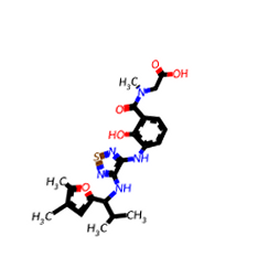 Cc1cc(C(Nc2nsnc2Nc2cccc(C(=O)N(C)CC(=O)O)c2O)C(C)C)oc1C